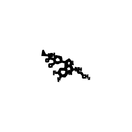 CCCNc1nc2cc(F)c(F)cc2n2c(-c3ccc(C(=O)NC4CC4)c(Cl)c3)cnc12